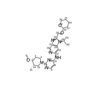 CO[C@@H]1CCN(c2nccc(Nc3cc4c(cn3)nc(COC3CCCCO3)n4C(C)C)n2)C[C@@H]1C